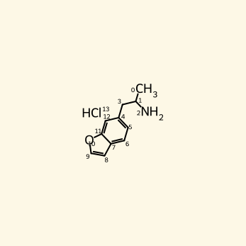 CC(N)Cc1ccc2ccoc2c1.Cl